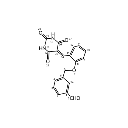 O=Cc1cccc(COc2ccccc2C=C2C(=O)NC(=O)NC2=O)c1